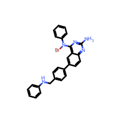 Nc1nc(N(Br)c2ccccc2)c2cc(-c3ccc(CNc4ccccc4)cc3)ccc2n1